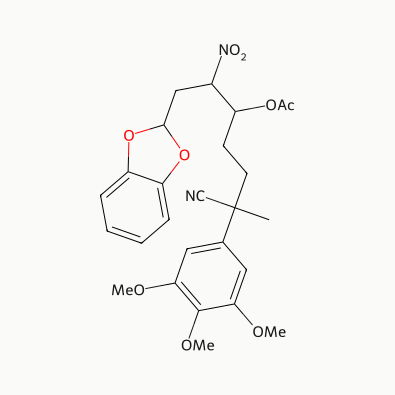 COc1cc(C(C)(C#N)CCC(OC(C)=O)C(CC2Oc3ccccc3O2)[N+](=O)[O-])cc(OC)c1OC